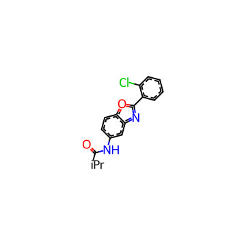 CC(C)C(=O)Nc1ccc2oc(-c3ccccc3Cl)nc2c1